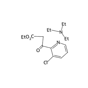 CCN(CC)CC.CCOC(=O)CC(=O)c1ncccc1Cl